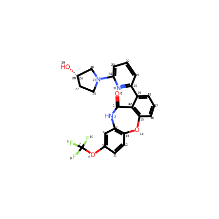 O=C1Nc2cc(OC(F)(F)F)ccc2Oc2cccc(-c3cccc(N4CC[C@H](O)C4)n3)c21